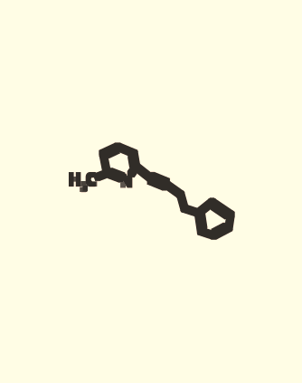 Cc1cccc(C#CCCc2ccccc2)n1